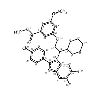 COC(=O)c1cc(OC)nc(OCC(C2CCCCC2)n2c(-c3ccc(Cl)cc3)nc3cc(F)c(F)cc32)c1